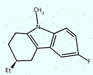 CC[C@H]1CCc2c(c3cc(F)ccc3n2C)C1